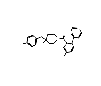 N#Cc1ccc(CC2(O)CCN(C(=O)c3cc(F)ccc3-c3ccncn3)CC2)cc1